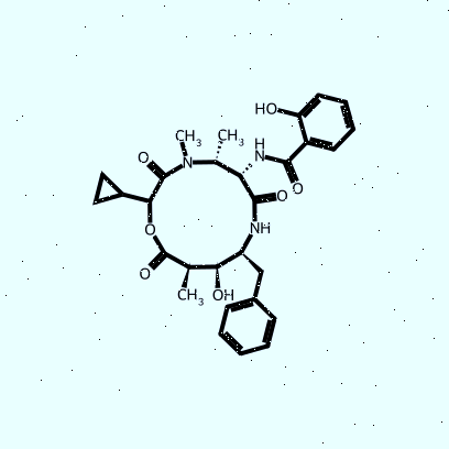 C[C@@H]1[C@H](NC(=O)c2ccccc2O)C(=O)N[C@@H](Cc2ccccc2)[C@@H](O)[C@@H](C)C(=O)OC(C2CC2)C(=O)N1C